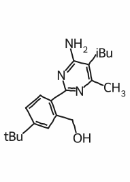 CCC(C)c1c(C)nc(-c2ccc(C(C)(C)C)cc2CO)nc1N